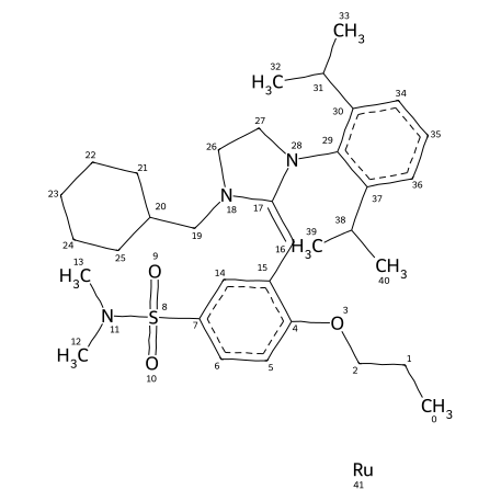 CCCOc1ccc(S(=O)(=O)N(C)C)cc1C=C1N(CC2CCCCC2)CCN1c1c(C(C)C)cccc1C(C)C.[Ru]